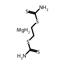 NC(=S)SCCSC(N)=S.[MgH2]